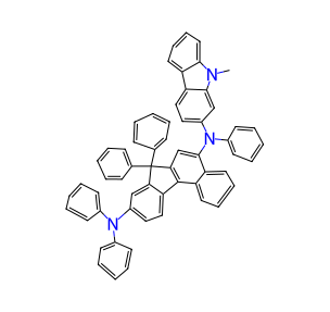 Cn1c2ccccc2c2ccc(N(c3ccccc3)c3cc4c(c5ccccc35)-c3ccc(N(c5ccccc5)c5ccccc5)cc3C4(c3ccccc3)c3ccccc3)cc21